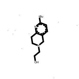 CC(C)(C)c1ccc2c(n1)CCN(CCO)C2